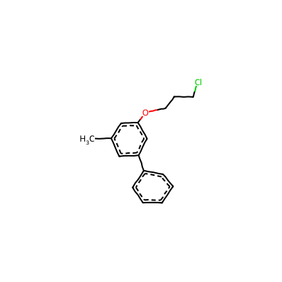 Cc1cc(OCCCCl)cc(-c2ccccc2)c1